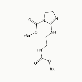 CC(C)(C)OC(=O)NCCNC1=NCCN1C(=O)OC(C)(C)C